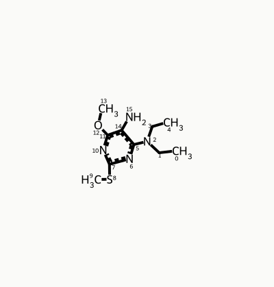 CCN(CC)c1nc(SC)nc(OC)c1N